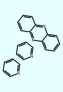 c1ccc2nc3ccccc3nc2c1.c1ccncc1.c1ccncc1